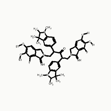 CCOc1cc2c(c(F)c1OCC)C(=N)N(CC(C(=O)C(CN1Cc3cc(OCC)c(OCC)c(F)c3C1=N)c1ccc3c(c1)C(C)(C)C(C)N3C)c1ccc3c(c1)C(C)(C)C(C)N3C)C2